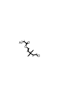 CC(=O)CC(=O)OC=CC(C)(C)CCCl